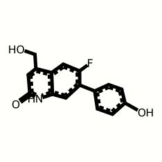 O=c1cc(CO)c2cc(F)c(-c3ccc(O)cc3)cc2[nH]1